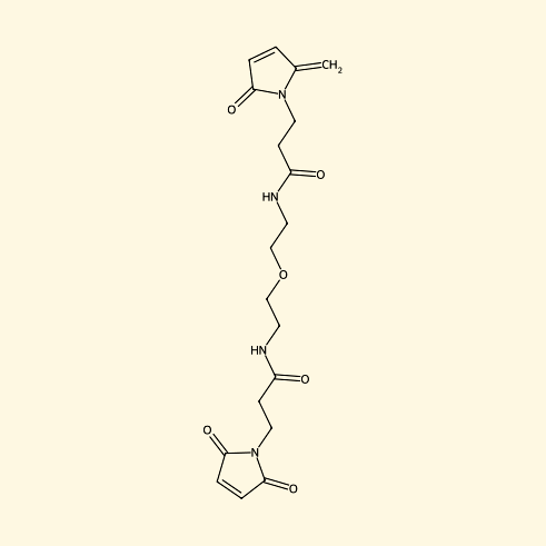 C=C1C=CC(=O)N1CCC(=O)NCCOCCNC(=O)CCN1C(=O)C=CC1=O